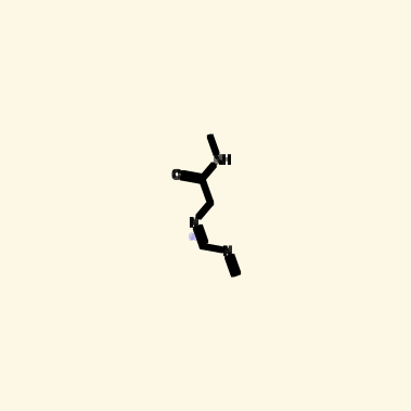 C=N/C=N\CC(=O)NC